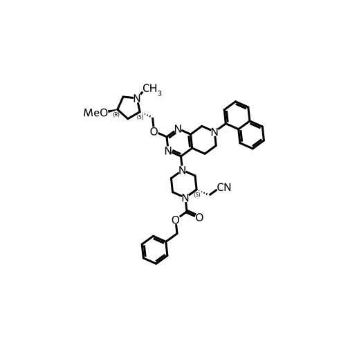 CO[C@@H]1C[C@@H](COc2nc3c(c(N4CCN(C(=O)OCc5ccccc5)[C@@H](CC#N)C4)n2)CCN(c2cccc4ccccc24)C3)N(C)C1